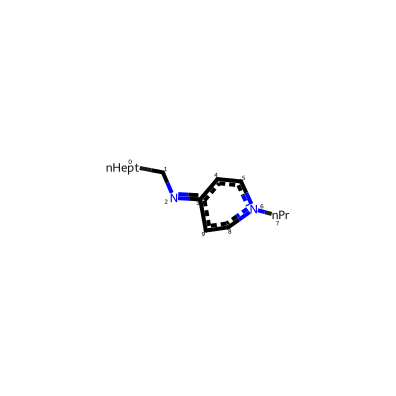 CCCCCCCCN=c1ccn(CCC)cc1